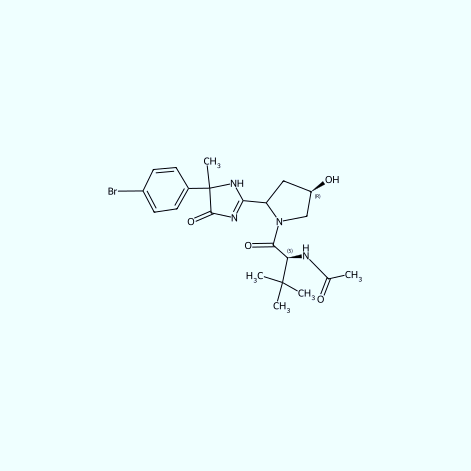 CC(=O)N[C@H](C(=O)N1C[C@H](O)CC1C1=NC(=O)C(C)(c2ccc(Br)cc2)N1)C(C)(C)C